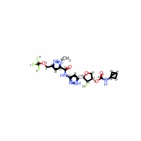 Cn1nc(COC(F)(F)F)cc1C(=O)Nc1cc([C@@H]2OC[C@H](OC(=O)NC34CC(C3)C4)[C@H]2F)[nH]n1